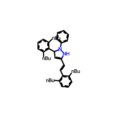 CCCCc1cccc(CCCC)c1C=CC1=CC(c2c(CCCC)cccc2CCCC)N(c2ccccc2)N1